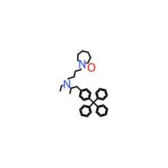 CCN(CCCCN1CCCCCC1=O)C(C)Cc1ccc(C(c2ccccc2)(c2ccccc2)c2ccccc2)cc1